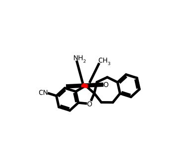 [C-]#[N+]c1ccc2c(c1)C1(N=C(N)N(C)C1=O)C1(CCc3ccccc3CC1)O2